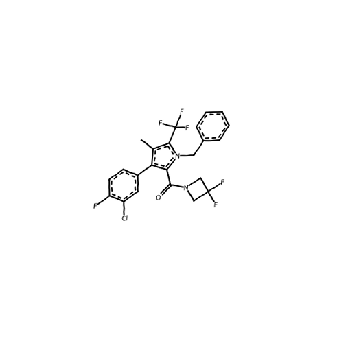 Cc1c(-c2ccc(F)c(Cl)c2)c(C(=O)N2CC(F)(F)C2)n(Cc2ccccc2)c1C(F)(F)F